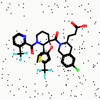 CCC[C@H]1N(C(=O)c2ncccc2C(F)(F)F)CCC[C@@]1(Oc1csc(C(F)(F)F)c1)C(=O)N1Cc2ccc(Cl)cc2C[C@@H]1CCC(=O)O